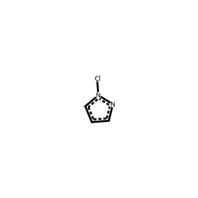 Cln1[c]ccn1